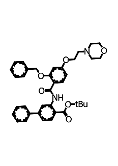 CC(C)(C)OC(=O)c1ccc(-c2ccccc2)cc1NC(=O)c1ccc(OCCN2CCOCC2)cc1OCc1ccccc1